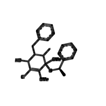 COC1=C(Cl)C(O)C(Cc2ccccc2)C(C)C1(OC)O[C@H](C)c1ccccc1